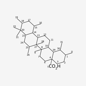 CC1CCC2(C(=O)O)CCC3(C)C(CCC4C5C(C)CC(C)C(C)(C)C5CC(C)C43C)C2C1C